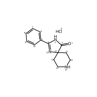 Cl.O=C1NC(c2ccccc2)=NC12CCNCC2